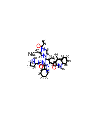 C=CC(=O)N1CCN(C2NC(OCC3CCCN3C)(C3CCCCCC3)NC3C(=O)[C@]4(CCC32)CN(C)c2ccccc2C4C)CC1CC#N